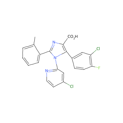 Cc1ccccc1-c1nc(C(=O)O)c(-c2ccc(F)c(Cl)c2)n1-c1cc(Cl)ccn1